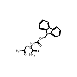 NC(=O)C[C@H](NC(=O)OCC1c2ccccc2-c2ccccc21)C(N)=O